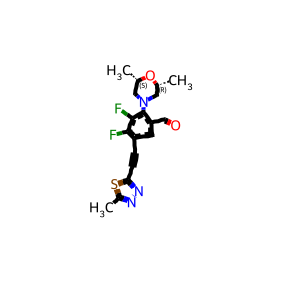 Cc1nnc(C#Cc2cc(C=O)c(N3C[C@@H](C)O[C@@H](C)C3)c(F)c2F)s1